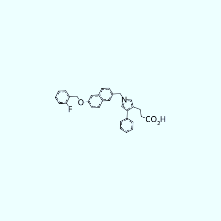 O=C(O)CCc1cn(Cc2ccc3cc(OCc4ccccc4F)ccc3c2)cc1-c1ccccc1